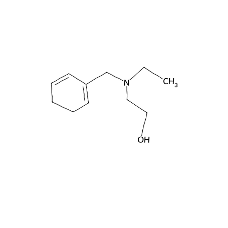 CCN(CCO)CC1=CCCC=C1